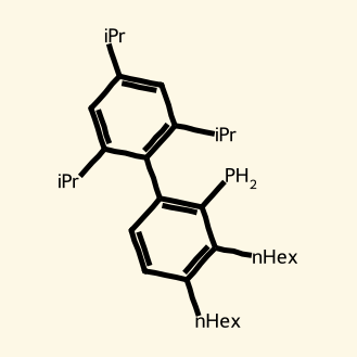 CCCCCCc1ccc(-c2c(C(C)C)cc(C(C)C)cc2C(C)C)c(P)c1CCCCCC